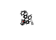 N#COc1ccc(C23CC4CC(C2)CC(c2ccc(OC#N)c(C5CCCCC5)c2)(C4)C3)cc1C1CCCCC1